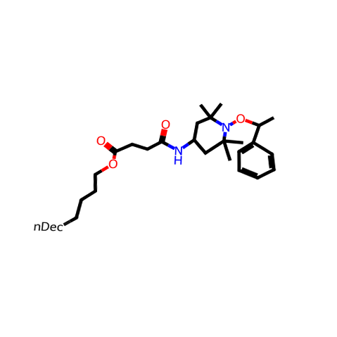 CCCCCCCCCCCCCCOC(=O)CCC(=O)NC1CC(C)(C)N(OC(C)c2ccccc2)C(C)(C)C1